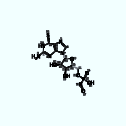 Nc1nc2c(ncn2[C@@H]2O[C@H](COP(=O)(O)N=O)[C@@H](O)[C@H]2O)c(=S)[nH]1